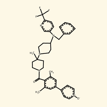 Cc1cc(-c2cc[n+]([O-])cc2)cc(C)c1C(=O)N1CCC(C)(N2CCC(N(Cc3ccccc3)c3ccc(C(F)(F)F)nc3)CC2)CC1